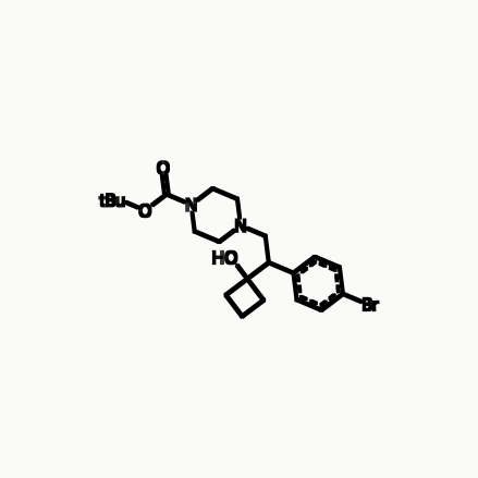 CC(C)(C)OC(=O)N1CCN(CC(c2ccc(Br)cc2)C2(O)CCC2)CC1